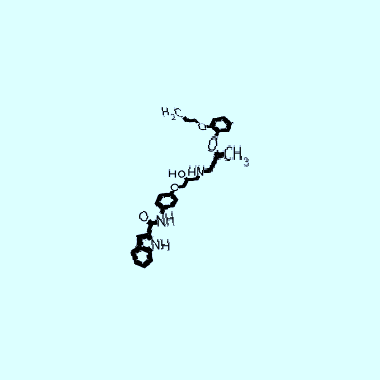 C=CCOc1ccccc1OC(C)CNCC(O)COc1ccc(NC(=O)c2cc3ccccc3[nH]2)cc1